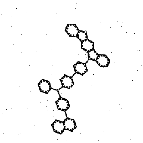 c1ccc(N(c2ccc(-c3ccc(-n4c5ccccc5c5cc6oc7ccccc7c6cc54)cc3)cc2)c2ccc(-c3cccc4ccccc34)cc2)cc1